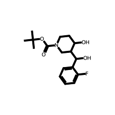 CC(C)(C)OC(=O)N1CCC(O)C(C(O)c2ccccc2F)C1